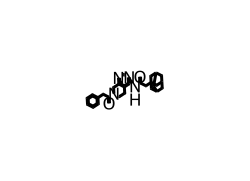 O=C(CC12CC3CC(CC(C3)C1)C2)Nc1ncnc2c1CCN(C(=O)Cc1ccccc1)C2